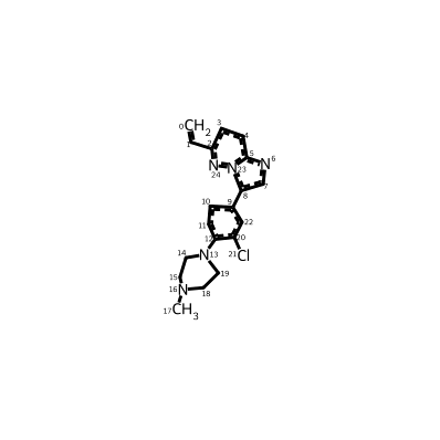 C=Cc1ccc2ncc(-c3ccc(N4CCN(C)CC4)c(Cl)c3)n2n1